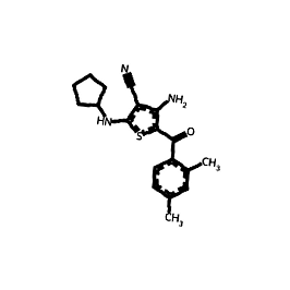 Cc1ccc(C(=O)c2sc(NC3CCCC3)c(C#N)c2N)c(C)c1